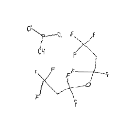 FC(F)(F)CC(F)(F)OC(F)(F)CC(F)(F)F.OP(Cl)Cl